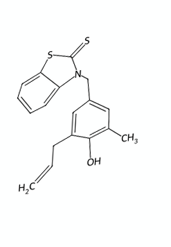 C=CCc1cc(Cn2c(=S)sc3ccccc32)cc(C)c1O